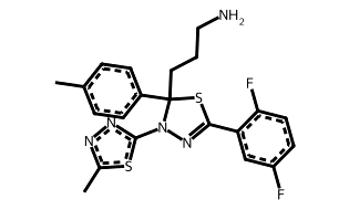 Cc1ccc(C2(CCCN)SC(c3cc(F)ccc3F)=NN2c2nnc(C)s2)cc1